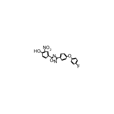 O=[N+]([O-])c1cc(-c2nc(-c3ccc(Oc4ccc(F)cc4)cc3)no2)ccc1O